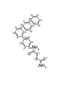 NC(=S)SSC(N)=S.c1ccccc1.c1ccccc1.c1ccccc1.c1ccccc1